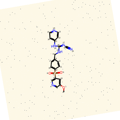 COc1cncc(S(=O)(=O)c2ccc(CN/C(=N\C#N)Nc3ccncc3)cc2)c1